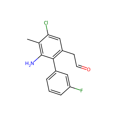 Cc1c(Cl)cc(CC=O)c(-c2cccc(F)c2)c1N